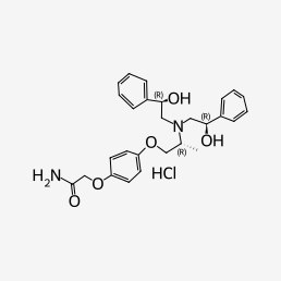 C[C@H](COc1ccc(OCC(N)=O)cc1)N(C[C@H](O)c1ccccc1)C[C@H](O)c1ccccc1.Cl